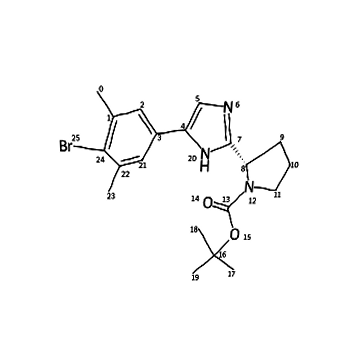 Cc1cc(-c2cnc([C@@H]3CCCN3C(=O)OC(C)(C)C)[nH]2)cc(C)c1Br